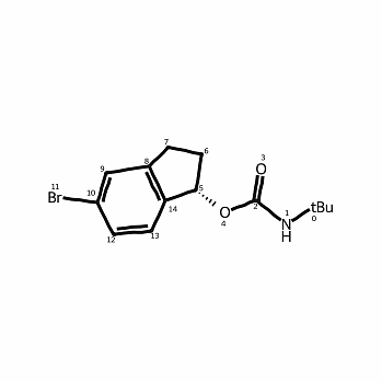 CC(C)(C)NC(=O)O[C@H]1CCc2cc(Br)ccc21